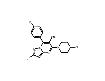 CCc1ccc(-c2c(C#N)c(N3CCN(C)CC3)nc3nc(C)nn23)cc1